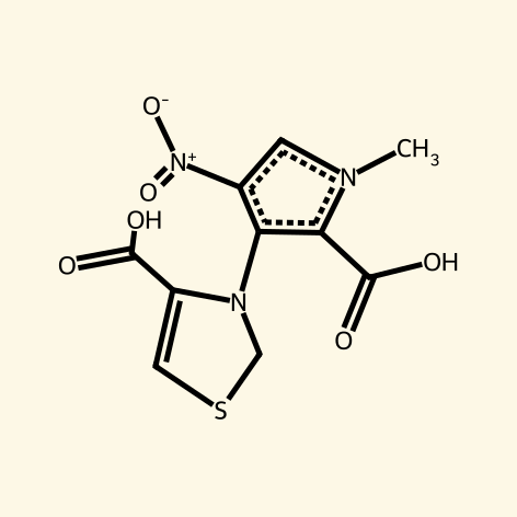 Cn1cc([N+](=O)[O-])c(N2CSC=C2C(=O)O)c1C(=O)O